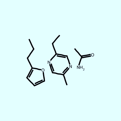 CC(N)=O.CCCc1ccco1.CCc1cnc(C)cn1